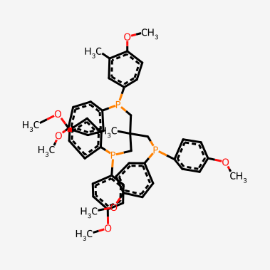 COc1ccc(P(CC(C)(CP(c2ccc(OC)cc2)c2ccc(OC)cc2)CP(c2ccc(OC)cc2)c2ccc(OC)c(C)c2)c2ccc(OC)cc2)cc1